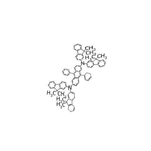 CC1(C)C2=CC(N(c3ccc4c(c3)C(C)(C)c3ccccc3-4)c3ccc4c(C5=CC=CCC5)c5cc(N(c6ccc7c(c6)C(C)(C)c6ccccc6-7)c6ccc7c(c6)C(C)(C)c6ccccc6-7)ccc5c(-c5ccccc5)c4c3)=CCC2C2=C1CCC=C2